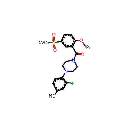 CNS(=O)(=O)c1ccc(OC(C)C)c(C(=O)N2CCN(c3ccc(C#N)cc3F)CC2)c1